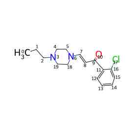 CCCN1CCN(C=CC(=O)c2ccccc2Cl)CC1